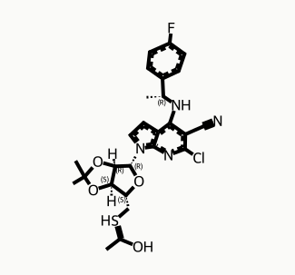 CC(O)=[SH]C[C@H]1O[C@@H](n2ccc3c(N[C@H](C)c4ccc(F)cc4)c(C#N)c(Cl)nc32)[C@@H]2OC(C)(C)O[C@@H]21